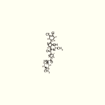 CC=NN(C(=O)c1ccc(C(=O)NN2CCN(C)CC2)s1)c1csc(-c2ccc(Cl)c(Cl)c2)c1O